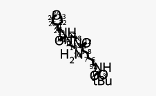 CC(C)(C)OC(=O)NCCCCC(N)C(=O)N1CCN(C(=O)NCC2CCOCC2)CC1